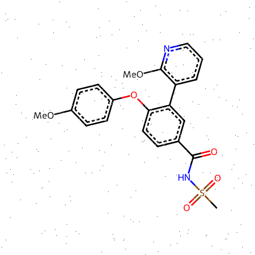 COc1ccc(Oc2ccc(C(=O)NS(C)(=O)=O)cc2-c2cccnc2OC)cc1